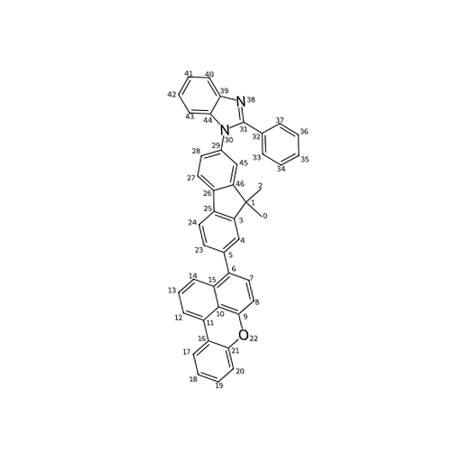 CC1(C)c2cc(-c3ccc4c5c(cccc35)-c3ccccc3O4)ccc2-c2ccc(-n3c(-c4ccccc4)nc4ccccc43)cc21